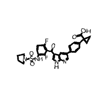 O=C(c1c(F)ccc(NS(=O)(=O)N2CCCC2)c1F)c1c[nH]c2ncc(-c3ccc(C4(C(=O)O)CC4)cc3)cc12